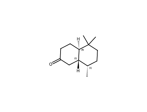 C[C@H]1CCC(C)(C)[C@@H]2CCC(=O)C[C@H]21